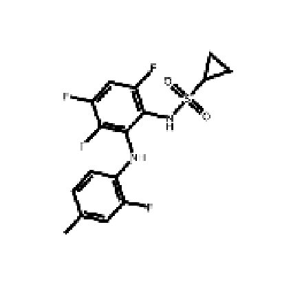 O=S(=O)(Nc1c(F)cc(F)c(F)c1Nc1ccc(I)cc1F)C1CC1